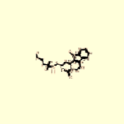 CCCCC(C)(C)NCCCC1c2c(c3ccccc3n2C)CCN1C(C)=O